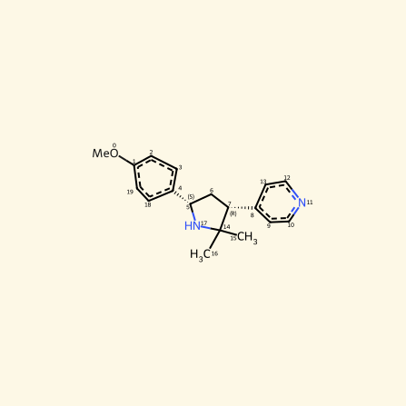 COc1ccc([C@@H]2C[C@H](c3ccncc3)C(C)(C)N2)cc1